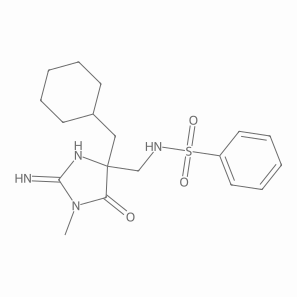 CN1C(=N)NC(CNS(=O)(=O)c2ccccc2)(CC2CCCCC2)C1=O